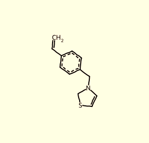 C=Cc1ccc(CN2C=CSC2)cc1